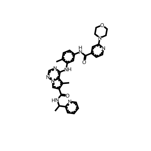 Cc1ccc(NC(=O)c2ccnc(N3CCOCC3)c2)cc1Nc1ncnn2cc(C(=O)NC(C)c3ccccn3)c(C)c12